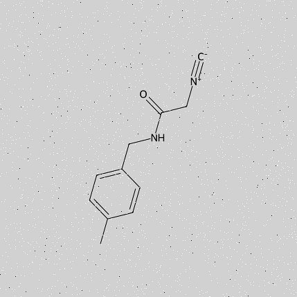 [C-]#[N+]CC(=O)NCc1ccc(C)cc1